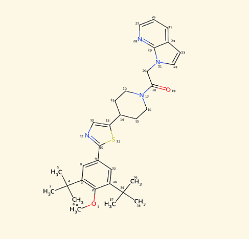 COc1c(C(C)(C)C)cc(-c2ncc(C3CCN(C(=O)Cn4ccc5cccnc54)CC3)s2)cc1C(C)(C)C